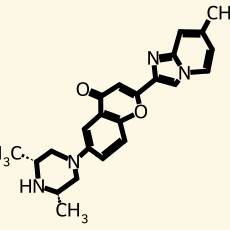 Cc1ccn2cc(-c3cc(=O)c4cc(N5C[C@@H](C)N[C@@H](C)C5)ccc4o3)nc2c1